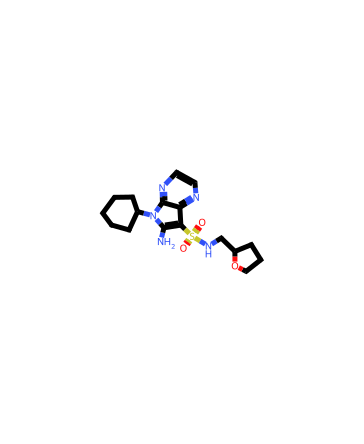 Nc1c(S(=O)(=O)NCC2CCCO2)c2nccnc2n1C1CCCCC1